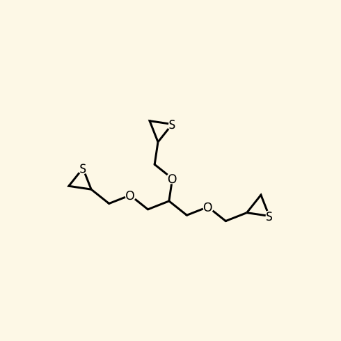 C(OCC1CS1)C(COCC1CS1)OCC1CS1